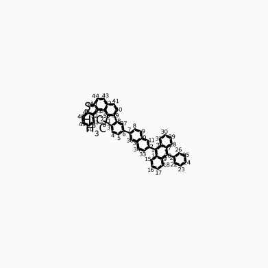 CC1(C)c2ccc(-c3ccc4cc(-c5c6ccccc6c(-c6ccccc6)c6ccccc56)ccc4c3)cc2-c2ccc3ccc4sc5ccccc5c4c3c21